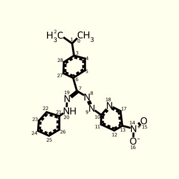 CC(C)c1ccc(C(N=Nc2ccc([N+](=O)[O-])cn2)=NNc2ccccc2)cc1